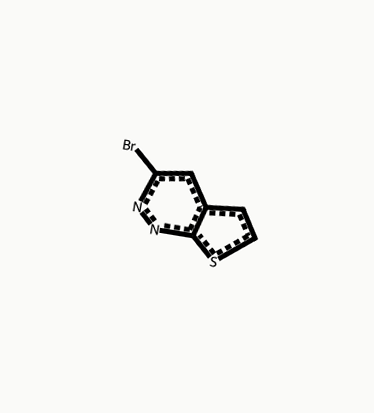 Brc1cc2ccsc2nn1